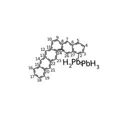 [PbH3][PbH2][c]1cccc2cc3ccc4cc5cc6ccccc6cc5cc4c3cc12